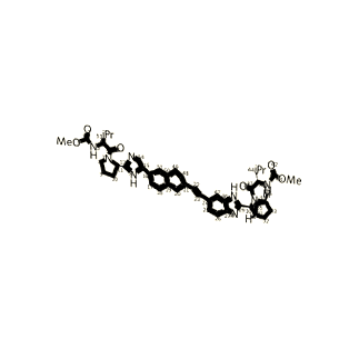 COC(=O)NC(C(=O)N1CCC[C@H]1c1ncc(-c2ccc3cc(C#Cc4ccc5nc([C@@H]6[C@H]7CC[C@H](C7)N6C(=O)[C@@H](NC(=O)OC)C(C)C)[nH]c5c4)ccc3c2)[nH]1)C(C)C